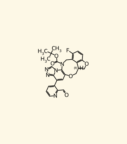 CC(C)(C)OC(=O)N1Cc2c(F)ccc3c2[C@H](CO3)COc2cc(-c3cccnc3C=O)c3nncn3c21